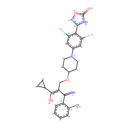 N=C(/C(COC1CCN(c2cc(F)c(-c3noc(=O)[nH]3)c(F)c2)CC1)=C(\O)C1CC1)c1ccccc1C(F)(F)F